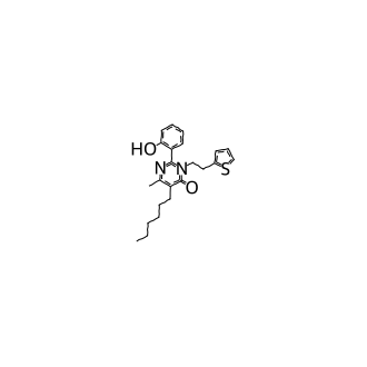 CCCCCCc1c(C)nc(-c2ccccc2O)n(CCc2cccs2)c1=O